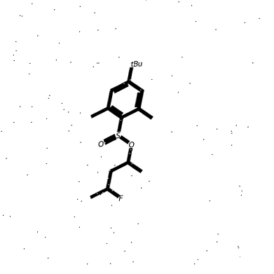 Cc1cc(C(C)(C)C)cc(C)c1S(=O)OC(C)CC(C)F